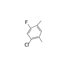 Cc1cc(C)c(Cl)cc1F